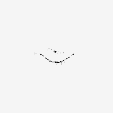 CCCCCCCCCCCCCCCC[N+](C)(C)CCCCCCCCCCCCCCCC.O=C(O)O